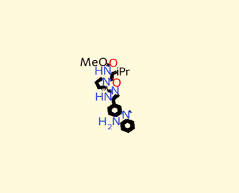 COC(=O)NC(C(=O)N1CCC[C@H]1c1ncc(-c2ccc(N)c(N(C)c3ccccc3)c2)[nH]1)C(C)C